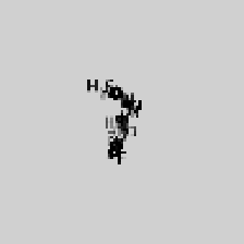 Cc1ccc(-n2cc3c(N4CCN[C@@H](C(=O)NCc5cc6c(F)csc6cn5)C4)ncnc3n2)cc1F